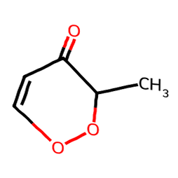 CC1OOC=CC1=O